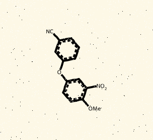 COc1ccc(Oc2cccc(C#N)c2)cc1[N+](=O)[O-]